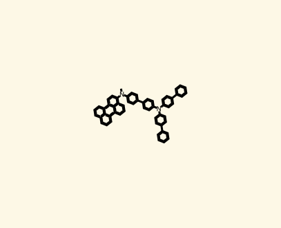 CN(c1ccc(-c2ccc(N(c3ccc(-c4ccccc4)cc3)c3ccc(-c4ccccc4)cc3)cc2)cc1)c1ccc2c3cccc4cccc(c5cccc1c52)c43